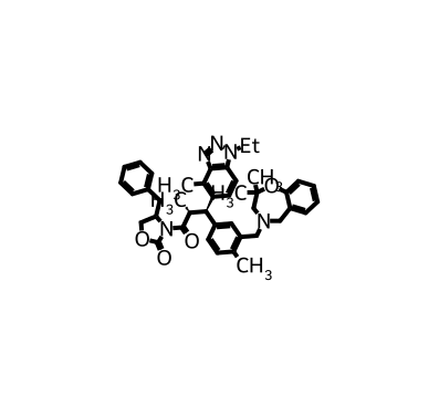 CCn1nnc2c(C)c([C@@H](c3ccc(C)c(CN4Cc5ccccc5OC(C)(C)C4)c3)[C@@H](C)C(=O)N3C(=O)OCC3Cc3ccccc3)ccc21